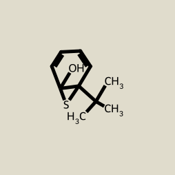 CC(C)(C)C12C=CC=CC1(O)S2